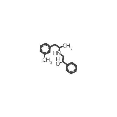 Cc1cccc(CC(C)NC[C@H](O)c2ccccc2)c1